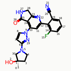 C[C@@]1(O)CCN(c2ccn(-c3cc(-c4c(F)cccc4C#N)nc4c3C(=O)NC4)n2)C1